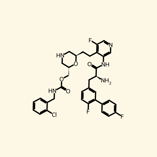 N[C@@H](Cc1ccc(F)c(-c2ccc(F)cc2)c1)C(=O)Nc1cncc(F)c1CC[C@@H]1CNC[C@@H](COC(=O)NCc2ccccc2Cl)O1